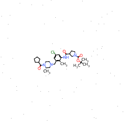 Cc1c(CN2CCN(C(=O)C3CCCC3)[C@@H](C)C2)cc(Cl)cc1NC(=O)C1CCN(C(=O)OC(C)(C)C)C1